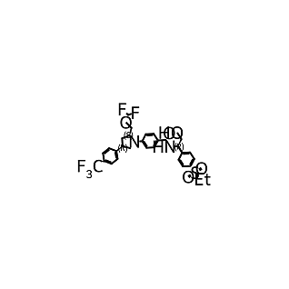 CCS(=O)(=O)c1ccc([C@H](CO)NC(=O)c2ccc(N3C[C@@H](c4ccc(C(F)(F)F)cc4)C[C@H]3COC(F)F)cc2)cc1